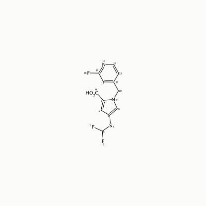 O=C(O)c1cc(SC(F)F)cn1Cc1ccnc(F)c1